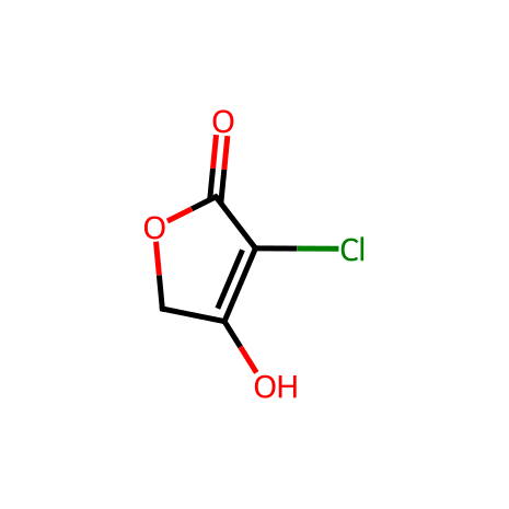 O=C1OCC(O)=C1Cl